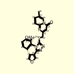 COc1ccccc1-n1c(SCc2cc(=O)n3cc(C)ccc3n2)nnc1-c1ccoc1